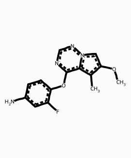 COc1cn2ncnc(Oc3ccc(N)cc3F)c2c1C